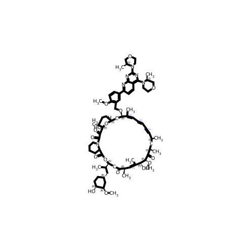 COc1ccc(-c2ccc3c(N4CCOC[C@@H]4C)nc(N4CCOC[C@@H]4C)nc3n2)cc1CO[C@@H]1C[C@@H]2CC[C@@H](C)[C@@](O)(O2)C(=O)C(=O)N2CCCCC2C(=O)O[C@H](C(C)C[C@H]2CC[C@@H](O)[C@H](OC)C2)CC(=O)[C@H](C)/C=C(\C)[C@@H](O)[C@@H](OC)C(=O)[C@H](C)C[C@H](C)/C=C/C=C/C=C\1C